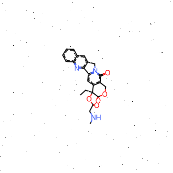 CCC1(OC(=O)CNC)C(=O)OCc2c1cc1n(c2=O)Cc2cc3ccccc3nc2-1